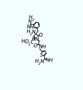 N=C(N)c1cccc(C[C@](N)(/C=C/C(=O)O)C(=O)NCC(=O)NCc2ccc(C(=N)N)s2)c1